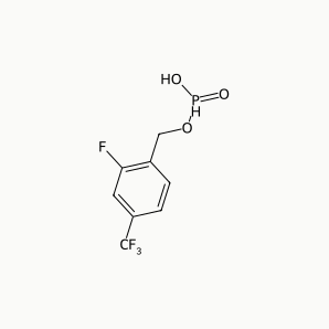 O=[PH](O)OCc1ccc(C(F)(F)F)cc1F